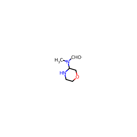 CN([C]=O)C1COCCN1